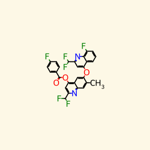 Cc1cc2nc(C(F)F)cc(OC(=O)c3ccc(F)cc3)c2cc1Oc1cc(C(F)F)nc2c(F)cccc12